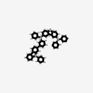 c1ccc(N(c2ccccc2)c2ccc3sc4ccc(N(c5ccccc5)c5cccc(-c6ccc7c8ccccc8n(-c8ccccc8)c7c6)c5)cc4c3c2)cc1